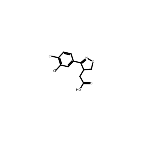 O=C(O)CC1CON=C1c1ccc(Cl)c(Cl)c1